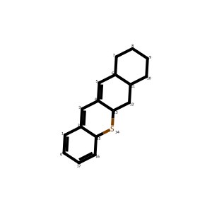 C1=CC2=CC3=CC4CCCCC4CC3SC2C=C1